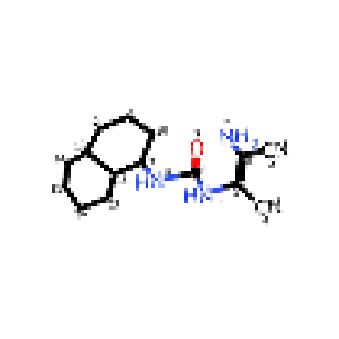 N#CC(N)=C(C#N)NC(=O)NC1CCCC2CCCCC21